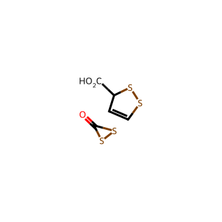 O=C(O)C1C=CSS1.O=C1SS1